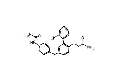 NC(=O)COc1ccc(Cc2ccc(NC(N)=O)cc2)cc1-c1ccccc1Cl